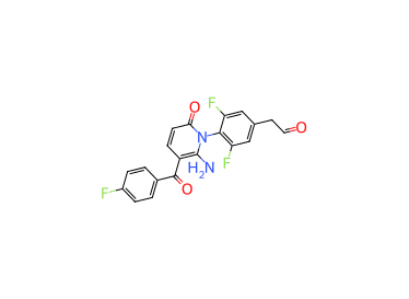 Nc1c(C(=O)c2ccc(F)cc2)ccc(=O)n1-c1c(F)cc(CC=O)cc1F